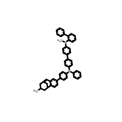 CC1CC2=Cc3cc(-c4ccc(N(c5ccccc5)c5ccc(-c6ccc(N(C)c7ccccc7-c7ccccc7)cc6)cc5)cc4)ccc3C(C2)C1